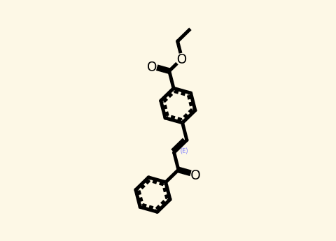 CCOC(=O)c1ccc(/C=C/C(=O)c2ccccc2)cc1